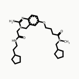 CN(CC1CCCC1)C(=O)CCCOc1ccc2c(c1)CN(CC(=O)NCCC1CCCC1)C(N)=N2